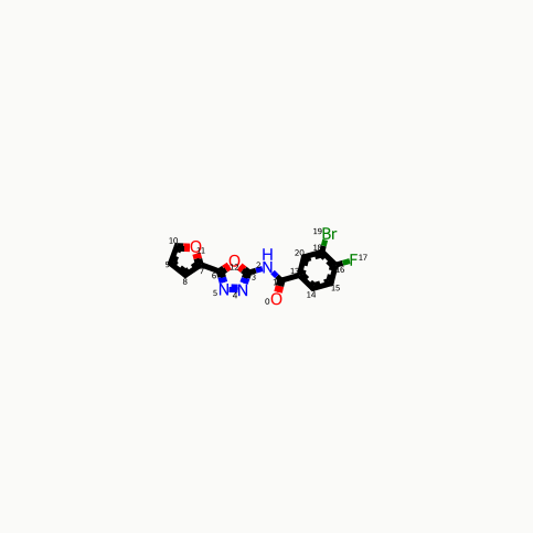 O=C(Nc1nnc(-c2ccco2)o1)c1ccc(F)c(Br)c1